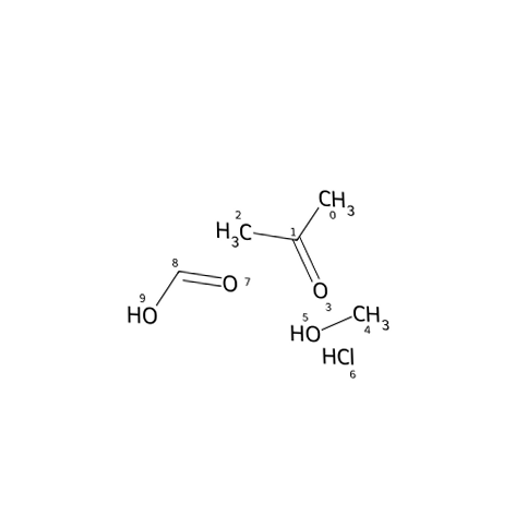 CC(C)=O.CO.Cl.O=CO